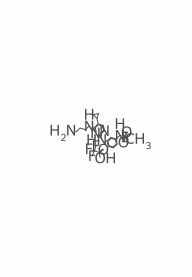 CS(=O)(=O)Nc1cccc(Nc2ncc(C3CC3)c(NCCCN)n2)c1.O=C(O)C(F)(F)F